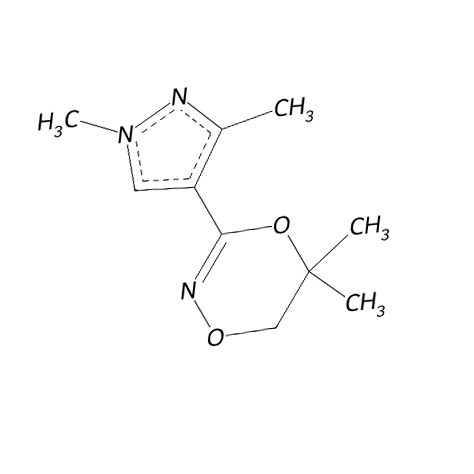 Cc1nn(C)cc1C1=NOCC(C)(C)O1